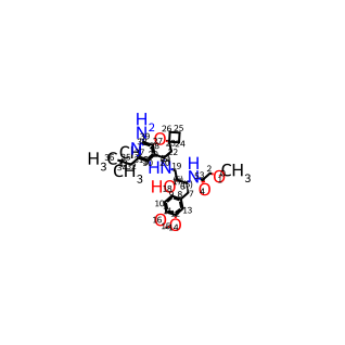 COCC(=O)N[C@@H](Cc1ccc2c(c1)OCO2)[C@@H](O)CN[C@H]1CC2(CCC2)Oc2c1cc(CC(C)(C)C)nc2N